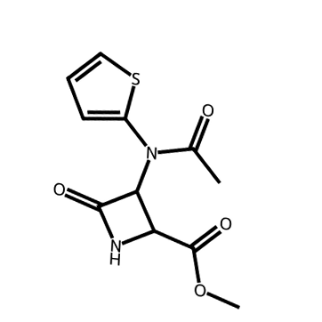 COC(=O)C1NC(=O)C1N(C(C)=O)c1cccs1